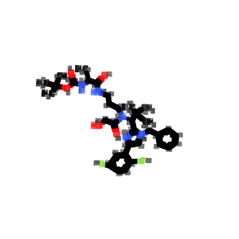 C[C@H](NC(=O)OC(C)(C)C)C(=O)NCCCN(C(=O)CO)[C@@H](c1nc(-c2cc(F)ccc2F)cn1Cc1ccccc1)C(C)(C)C